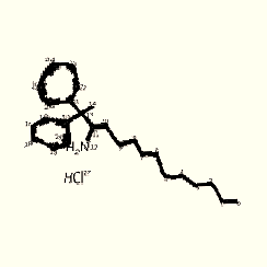 CCCCCCCCCCCC(N)C(C)(c1ccccc1)c1ccccc1.Cl